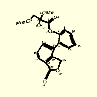 COCC(C)(OC)C(=O)Oc1ccccc1-c1cccc2c1COC2=O